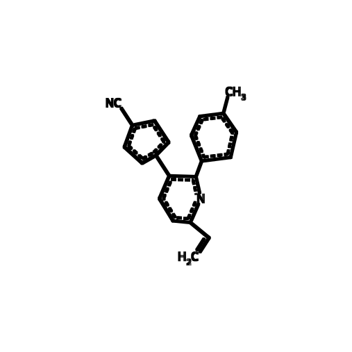 C=Cc1ccc(-c2ccc(C#N)cc2)c(-c2ccc(C)cc2)n1